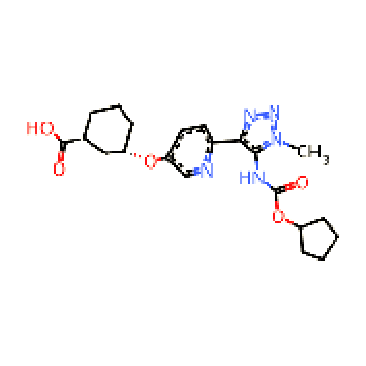 Cn1nnc(-c2ccc(O[C@H]3CCC[C@H](C(=O)O)C3)cn2)c1NC(=O)OC1CCCC1